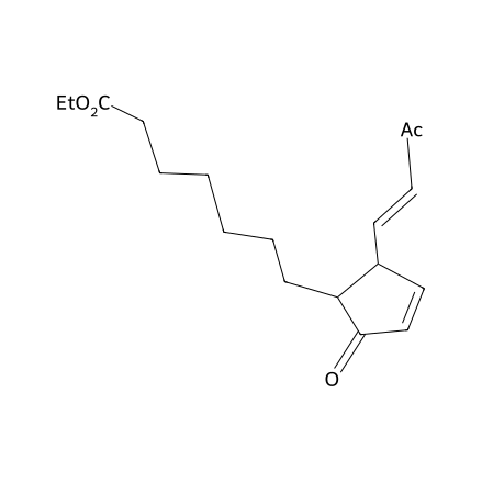 CCOC(=O)CCCCCCC1C(=O)C=CC1C=CC(C)=O